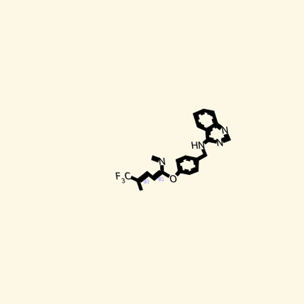 C=N/C(=C\C=C(/C)C(F)(F)F)Oc1ccc(CNc2ncnc3ccccc23)cc1